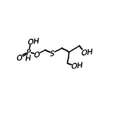 O=[PH](O)OCSCC(CO)CO